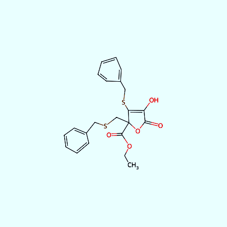 CCOC(=O)C1(CSCc2ccccc2)OC(=O)C(O)=C1SCc1ccccc1